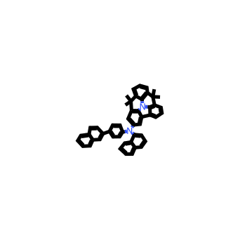 CC1(C)c2cccc3c2-n2c4c1cccc4c1cc(N(c4ccc(-c5ccc6ccccc6c5)cc4)c4cccc5ccccc45)cc(c12)C3(C)C